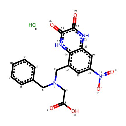 Cl.O=C(O)CN(Cc1ccccc1)Cc1cc([N+](=O)[O-])cc2[nH]c(=O)c(=O)[nH]c12